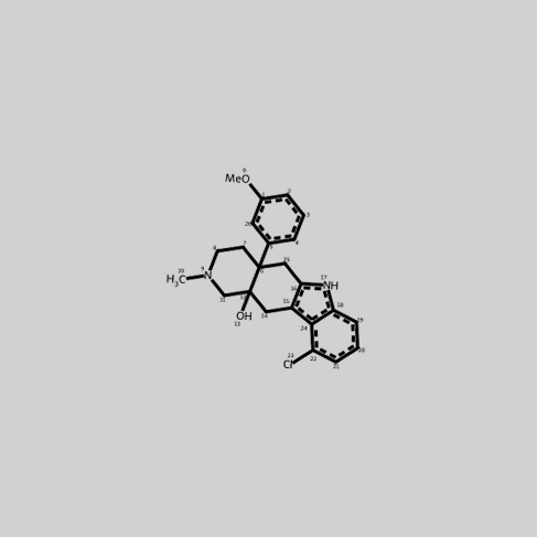 COc1cccc(C23CCN(C)CC2(O)Cc2c([nH]c4cccc(Cl)c24)C3)c1